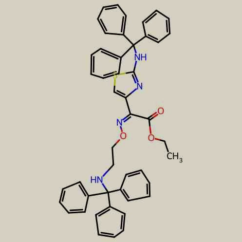 CCOC(=O)/C(=N\OCCNC(c1ccccc1)(c1ccccc1)c1ccccc1)c1csc(NC(c2ccccc2)(c2ccccc2)c2ccccc2)n1